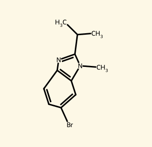 CC(C)c1nc2ccc(Br)cc2n1C